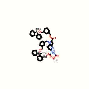 CC(C)(C)OC(=O)NN(C(=O)OC(C)(C)C)c1ccc2c(cc(C(=O)OCc3cccc(CO[Si](c4ccccc4)(c4ccccc4)C(C)(C)C)c3)n2Cc2cccc(CO[Si](c3ccccc3)(c3ccccc3)C(C)(C)C)c2)n1